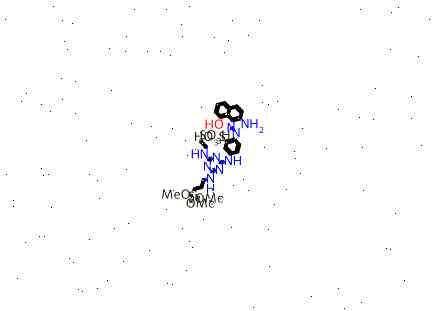 CO[Si](CCCNc1nc(NCCS(=O)(=O)O)nc(Nc2ccc(/N=N/c3c(N)ccc4cccc(O)c34)c(S(=O)(=O)O)c2)n1)(OC)OC